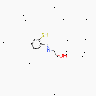 OCCN=Cc1ccccc1S